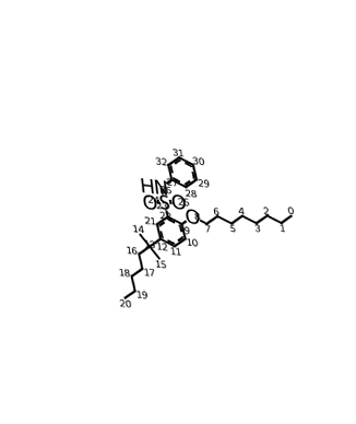 CCCCCCCCOc1ccc(C(C)(C)CCCCC)cc1S(=O)(=O)Nc1cc[c]cc1